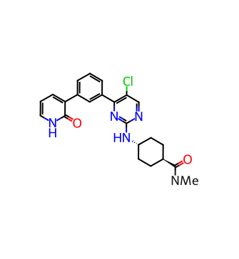 CNC(=O)[C@H]1CC[C@H](Nc2ncc(Cl)c(-c3cccc(-c4ccc[nH]c4=O)c3)n2)CC1